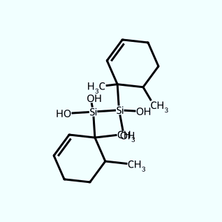 CC1CCC=CC1(C)[Si](O)(O)[Si](O)(O)C1(C)C=CCCC1C